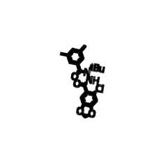 Cc1cc(C)cc(C(=O)N(NC(=O)c2cc3c(cc2Cl)OCO3)C(C)(C)C)c1